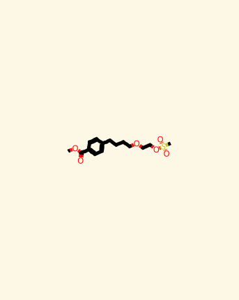 COC(=O)c1ccc(CCCCOCCOS(C)(=O)=O)cc1